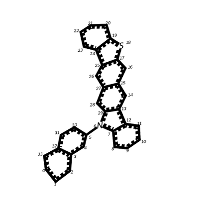 c1ccc2cc(-n3c4ccccc4c4cc5cc6sc7ccccc7c6cc5cc43)ccc2c1